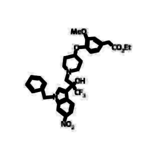 CCOC(=O)Cc1ccc(OC2CCN(CC(O)(c3cn(Cc4ccccc4)c4cc([N+](=O)[O-])ccc34)C(F)(F)F)CC2)c(OC)c1